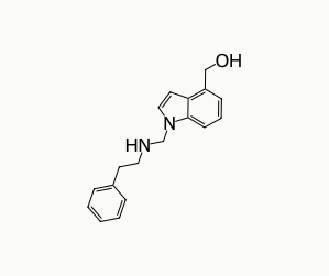 OCc1cccc2c1ccn2CNCCc1ccccc1